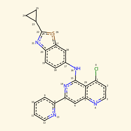 Clc1ccnc2cc(-c3ccccn3)nc(Nc3ccc4nc(C5CC5)sc4c3)c12